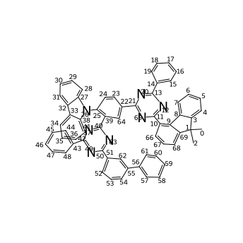 CC1(C)c2ccccc2-c2c(-c3nc(-c4ccccc4)nc(-c4ccc(-n5c6ccccc6c6ccccc65)c(-c5nc(-c6ccccc6)nc(-c6cccc(-c7ccccc7)c6)n5)c4)n3)cccc21